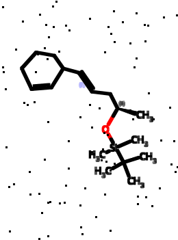 C[C@H](C/C=C/C1C=CCCC1)O[Si](C)(C)C(C)(C)C